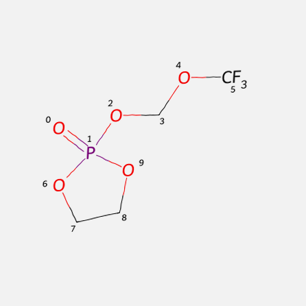 O=P1(OCOC(F)(F)F)OCCO1